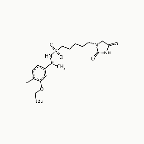 C[C@@H](NS(=O)(=O)CCCCCN1CC(=O)NC1=O)c1ccc(F)c(OCC(C)(C)C)c1